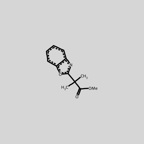 COC(=O)C(C)(C)c1nc2ccccc2o1